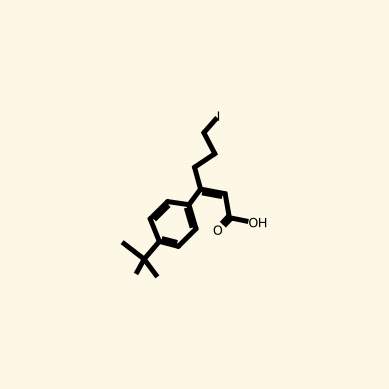 CC(C)(C)c1ccc(/C(=C\C(=O)O)CCCI)cc1